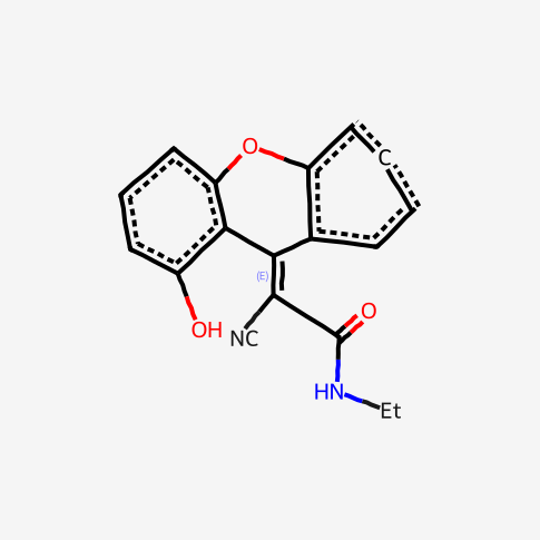 [CH2]CNC(=O)/C(C#N)=C1\c2ccccc2Oc2cccc(O)c21